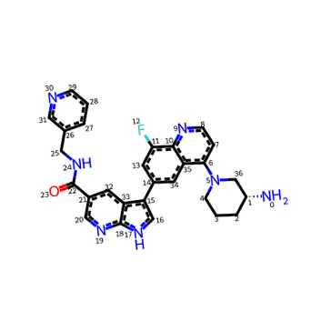 N[C@@H]1CCCN(c2ccnc3c(F)cc(-c4c[nH]c5ncc(C(=O)NCc6cccnc6)cc45)cc23)C1